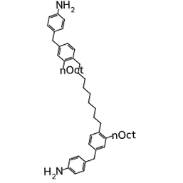 CCCCCCCCc1cc(Cc2ccc(N)cc2)ccc1CCCCCCCCCc1ccc(Cc2ccc(N)cc2)cc1CCCCCCCC